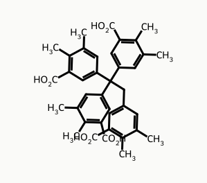 Cc1cc(CC(c2cc(C)c(C)c(C(=O)O)c2)(c2cc(C)c(C)c(C(=O)O)c2)c2cc(C)c(C)c(C(=O)O)c2)cc(C(=O)O)c1C